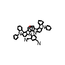 N#Cc1cc(C#N)c(-n2c3ccccc3c3c4c5ccccc5n(-c5ccccc5)c4ccc32)c(-n2c3ccccc3c3c4c5ccccc5n(-c5ccccc5)c4ccc32)c1